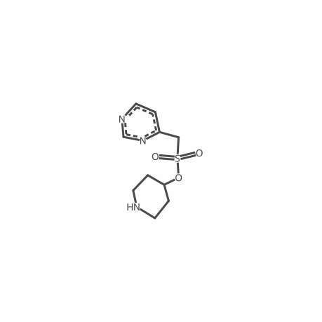 O=S(=O)(Cc1ccncn1)OC1CCNCC1